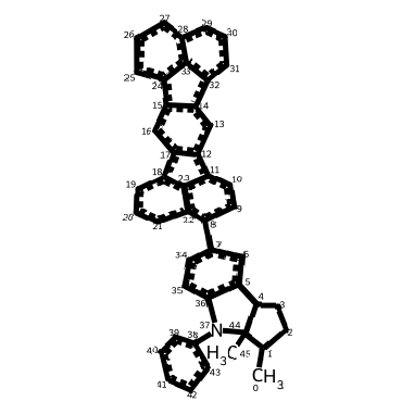 CC1CCC2c3cc(-c4ccc5c6cc7c(cc6c6cccc4c65)c4cccc5cccc7c54)ccc3N(c3ccccc3)C12C